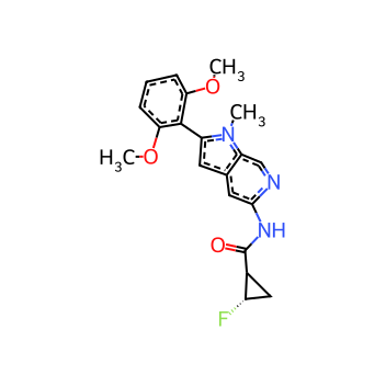 COc1cccc(OC)c1-c1cc2cc(NC(=O)C3C[C@@H]3F)ncc2n1C